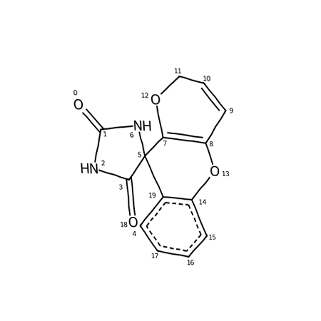 O=C1NC(=O)C2(N1)C1=C(C=CCO1)Oc1ccccc12